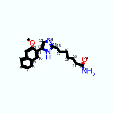 COc1cc2ccccc2cc1-c1cnc(CCCCCCC(N)=O)[nH]1